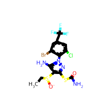 CC[S+]([O-])c1c(SC(N)=O)nn(-c2c(Cl)cc(C(F)(F)F)cc2Br)c1N